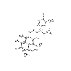 COc1cc(N(CC2CC2)C2CCC(N(C)c3c(C#N)c(=O)n(C)c4ccc(Cl)nc34)CC2)ccc1F